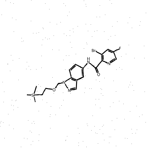 C[Si](C)(C)CCOCn1ncc2cc(NC(=O)c3ncc(F)cc3Br)ccc21